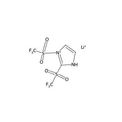 O=S(=O)(c1[nH]cc[n+]1S(=O)(=O)C(F)(F)F)C(F)(F)F.[Li+]